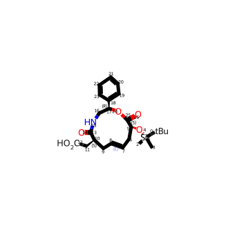 CC(C)(C)[Si](C)(C)O[C@H]1C/C=C/C[C@@H](CC(=O)O)C(=O)NC[C@@H](c2ccccc2)OC1=O